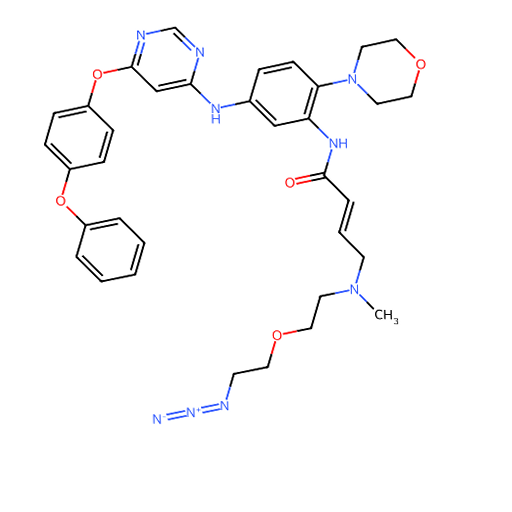 CN(C/C=C/C(=O)Nc1cc(Nc2cc(Oc3ccc(Oc4ccccc4)cc3)ncn2)ccc1N1CCOCC1)CCOCCN=[N+]=[N-]